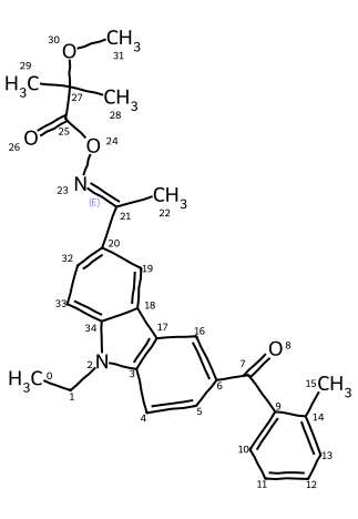 CCn1c2ccc(C(=O)c3ccccc3C)cc2c2cc(/C(C)=N/OC(=O)C(C)(C)OC)ccc21